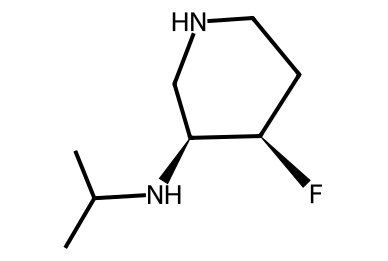 CC(C)N[C@H]1CNCC[C@H]1F